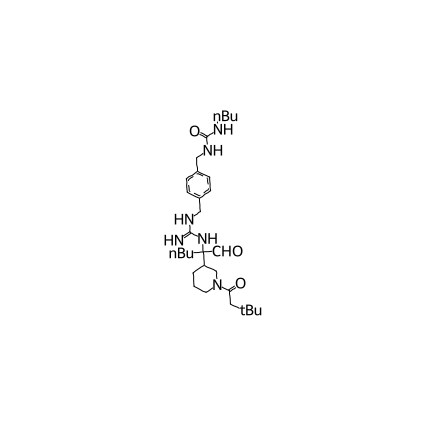 CCCCNC(=O)NCc1ccc(CNC(=N)NC(C=O)(CCCC)C2CCCN(C(=O)CC(C)(C)C)C2)cc1